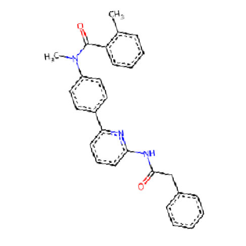 Cc1ccccc1C(=O)N(C)c1ccc(-c2cccc(NC(=O)Cc3ccccc3)n2)cc1